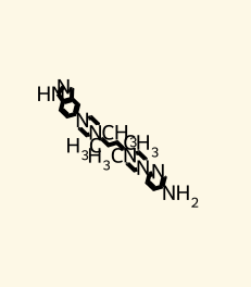 CC(C)(CCC(C)(C)N1CCN(c2ccc(N)cn2)CC1)N1CCN(c2ccc3[nH]ncc3c2)CC1